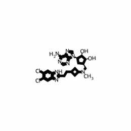 CN(C[C@H]1C[C@@H](n2cnc3c(N)ncnc32)[C@H](O)[C@@H]1O)C1CC(CCc2nc3cc(Cl)c(Cl)cc3[nH]2)C1